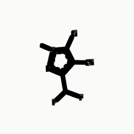 Cn1nc(C(F)F)c(C#N)c1Cl